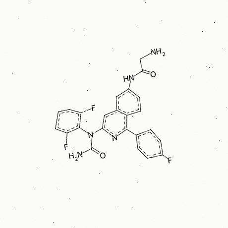 NCC(=O)Nc1ccc2c(-c3ccc(F)cc3)nc(N(C(N)=O)c3c(F)cccc3F)cc2c1